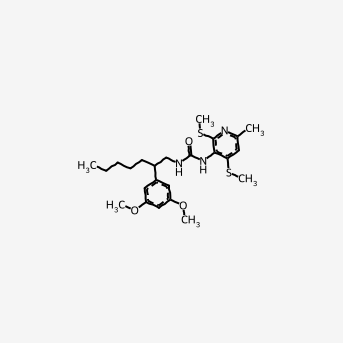 CCCCCC(CNC(=O)Nc1c(SC)cc(C)nc1SC)c1cc(OC)cc(OC)c1